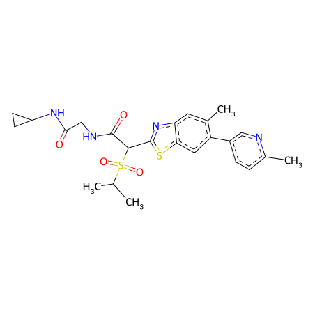 Cc1ccc(-c2cc3sc(C(C(=O)NCC(=O)NC4CC4)S(=O)(=O)C(C)C)nc3cc2C)cn1